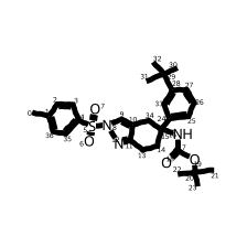 Cc1ccc(S(=O)(=O)n2cc3c(n2)CCC(NC(=O)OC(C)(C)C)(c2cccc(C(C)(C)C)c2)C3)cc1